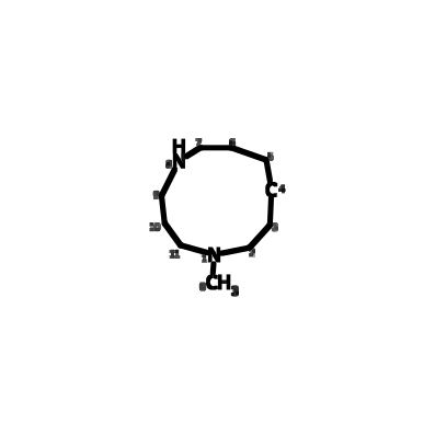 CN1CCCCCCNCCC1